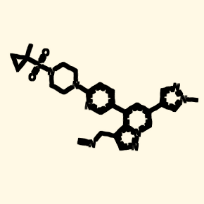 C=NCc1cnn2cc(-c3cnn(C)c3)cc(-c3ccc(N4CCN(S(=O)(=O)C5(C)CC5)CC4)nc3)c12